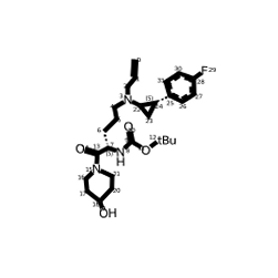 C=CCN(CCC[C@H](NC(=O)OC(C)(C)C)C(=O)N1CCC(O)CC1)C1C[C@H]1c1ccc(F)cc1